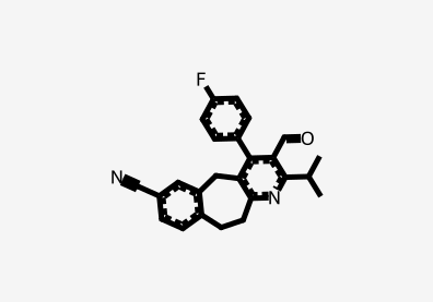 CC(C)c1nc2c(c(-c3ccc(F)cc3)c1C=O)Cc1cc(C#N)ccc1CC2